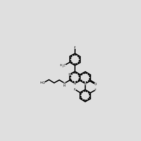 Cc1cc(F)ccc1-c1nc(NCCCO)nc2c1ccc(=O)n2-c1c(F)cccc1F